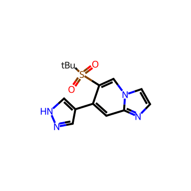 CC(C)(C)S(=O)(=O)c1cn2ccnc2cc1-c1cn[nH]c1